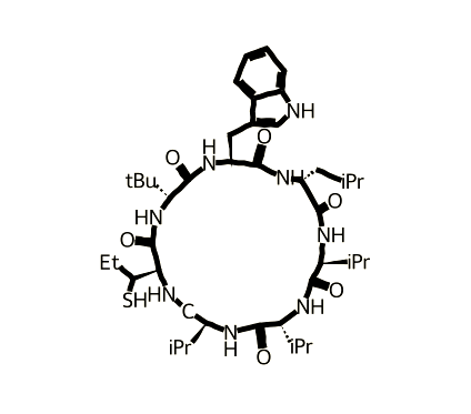 CCC(S)[C@@H]1NC[C@H](C(C)C)NC(=O)[C@@H](C(C)C)NC(=O)[C@H](C(C)C)NC(=O)[C@@H](CC(C)C)NC(=O)[C@H](Cc2c[nH]c3ccccc23)NC(=O)[C@@H](C(C)(C)C)NC1=O